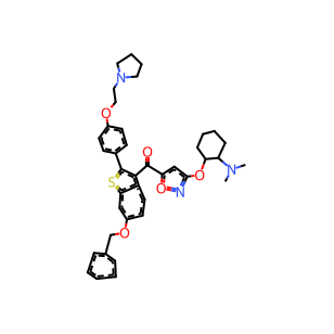 CN(C)C1CCCCC1Oc1cc(C(=O)c2c(-c3ccc(OCCN4CCCC4)cc3)sc3cc(OCc4ccccc4)ccc23)on1